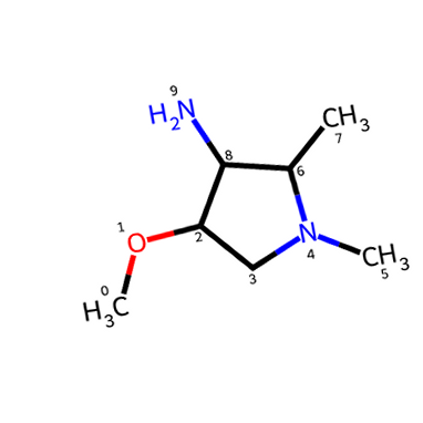 COC1CN(C)C(C)C1N